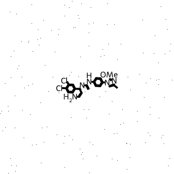 C=C(/N=C(\C=C/N)c1ccc(Cl)c(Cl)c1)Nc1ccc(-n2cnc(C)c2)c(OC)c1